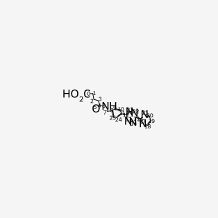 O=C(O)CCCC(=O)NCc1ccc(-c2nnc(-c3ncccn3)nn2)cc1